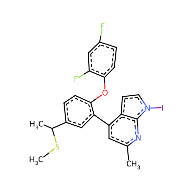 CSC(C)c1ccc(Oc2ccc(F)cc2F)c(-c2cc(C)nc3c2ccn3I)c1